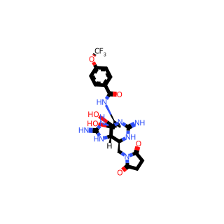 N=C1N[C@H]2[C@H](CN3C(=O)CCC3=O)NC(=N)N3C[C@H](NC(=O)c4ccc(OC(F)(F)F)cc4)C(O)(O)[C@]23N1